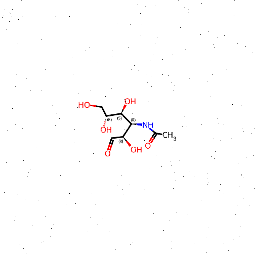 CC(=O)N[C@H]([C@H](O)[C@H](O)CO)[C@@H](O)C=O